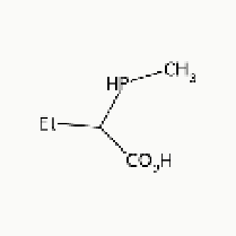 CCC(PC)C(=O)O